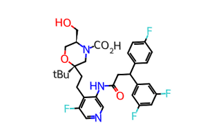 CC(C)(C)[C@]1(CCc2c(F)cncc2NC(=O)CC(c2ccc(F)cc2)c2cc(F)cc(F)c2)CN(C(=O)O)[C@H](CO)CO1